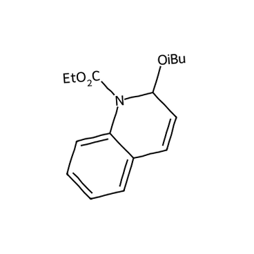 CCOC(=O)N1c2ccccc2C=CC1OCC(C)C